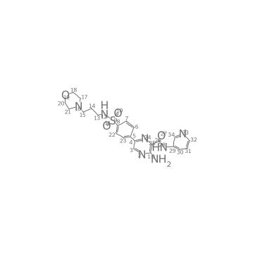 Nc1ncc(-c2ccc(S(=O)(=O)NCCCN3CCOCC3)cc2)nc1C(=O)Nc1cccnc1